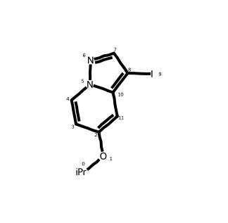 CC(C)Oc1ccn2ncc(I)c2c1